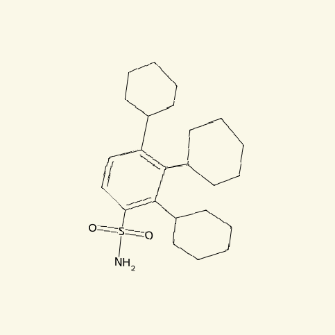 NS(=O)(=O)c1ccc(C2CCCCC2)c(C2CCCCC2)c1C1CCCCC1